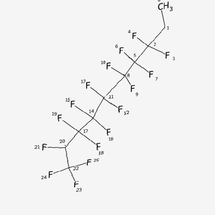 CCC(F)(F)C(F)(F)C(F)(F)C(F)(F)C(F)(F)C(F)(F)[C](F)C(F)(F)F